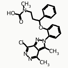 Cc1nnc(Cl)c2nn(-c3ccccc3OC(CCN(C)C(=O)O)c3ccccc3)c(C)c12